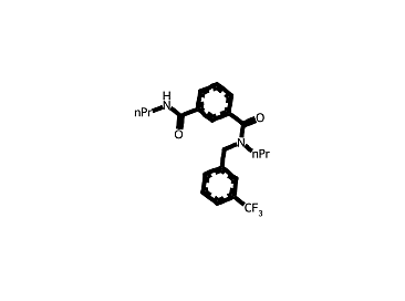 CCCNC(=O)c1cccc(C(=O)N(CCC)Cc2cccc(C(F)(F)F)c2)c1